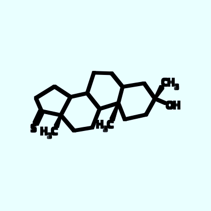 C[C@@]1(O)CC[C@@]2(C)C(CCC3C2CC[C@]2(C)C(=S)CCC32)C1